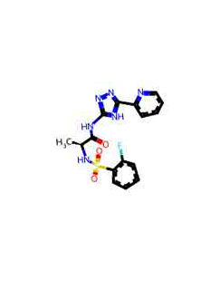 C[C@H](NS(=O)(=O)c1ccccc1F)C(=O)Nc1nnc(-c2ccccn2)[nH]1